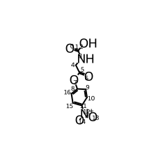 O=C(O)NCC(=O)Oc1ccc([N+](=O)[O-])cc1